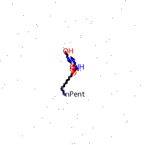 [CH2][C@H](NC(=O)CN1CCN(CCCO)CC1)C(=O)OCCCCCCCC/C=C\C/C=C\CCCCC